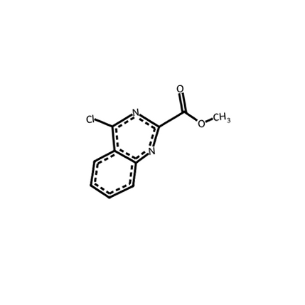 COC(=O)c1nc(Cl)c2ccccc2n1